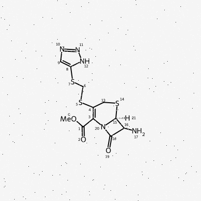 COC(=O)C1=C(SCSc2cnn[nH]2)CS[C@H]2C(N)C(=O)N12